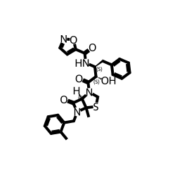 Cc1ccccc1CN1C(=O)[C@H]2N(C(=O)[C@@H](O)[C@H](Cc3ccccc3)NC(=O)c3ccno3)CSC21C